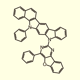 c1ccc(-c2nc(-n3c4ccccc4c4cc5c6ccc7ccccc7c6n(-c6ccccc6)c5cc43)nc3c2oc2ccccc23)cc1